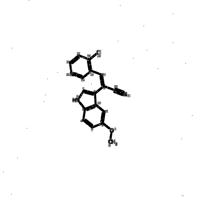 COc1ccc2[nH]cc(/C(C#N)=C\c3cnccc3Cl)c2c1